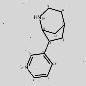 c1cncc(C2CC3CCNC2C3)c1